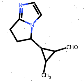 CC1C(C=O)C1C1CCc2nccn21